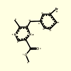 COC(=O)c1cnc(C)c(Cc2cccc(Br)c2)n1